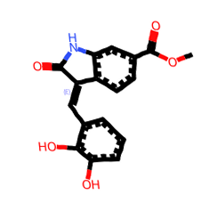 COC(=O)c1ccc2c(c1)NC(=O)/C2=C/c1cccc(O)c1O